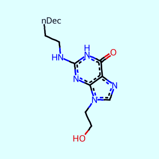 CCCCCCCCCCCCNc1nc2c(ncn2CCO)c(=O)[nH]1